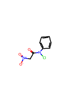 O=C(C[N+](=O)[O-])N(Cl)c1ccccc1